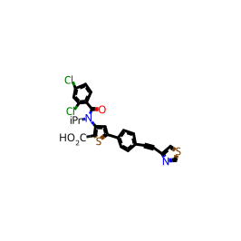 CC(C)N(C(=O)c1ccc(Cl)cc1Cl)c1cc(-c2ccc(C#Cc3cscn3)cc2)sc1C(=O)O